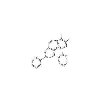 Cc1cc(-c2ccccc2)c2c(ccc3cc(-c4ccccc4)ccc32)c1C